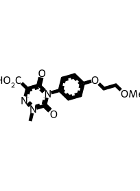 COCCOc1ccc(-n2c(=O)c(C(=O)O)nn(C)c2=O)cc1